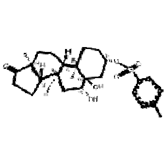 Cc1ccc(S(=O)(=O)O[C@H]2CC[C@]3(C)[C@H]4CC[C@]5(C)C(=O)CC[C@H]5[C@@H]4C[C@@H](O)[C@@]3(O)C2)cc1